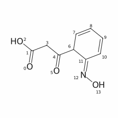 O=C(O)CC(=O)C1C=CC=CC1=NO